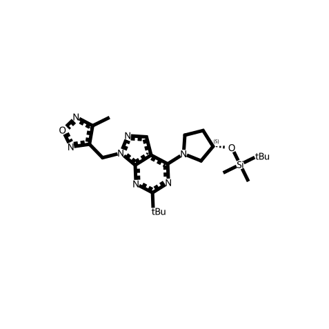 Cc1nonc1Cn1ncc2c(N3CC[C@H](O[Si](C)(C)C(C)(C)C)C3)nc(C(C)(C)C)nc21